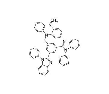 C=Nc1ccccc1N(Cc1cc(-c2nc3ccccc3n2-c2ccccc2)cc(-c2nc3ccccc3n2-c2ccccc2)c1)c1ccccc1